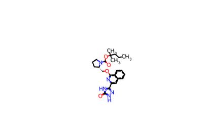 CCCC(C)(C)OC(=O)N1CCC[C@H]1COc1nc(-c2n[nH]c(=O)[nH]2)cc2ccccc12